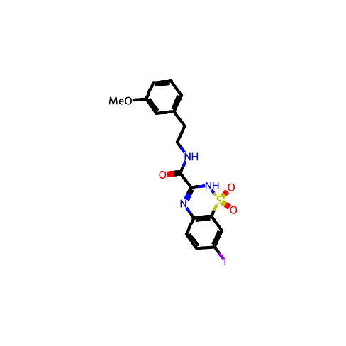 COc1cccc(CCNC(=O)C2=Nc3ccc(I)cc3S(=O)(=O)N2)c1